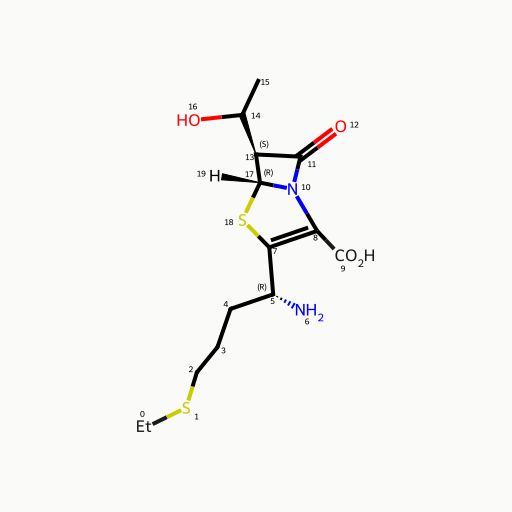 CCSCCC[C@@H](N)C1=C(C(=O)O)N2C(=O)[C@H](C(C)O)[C@H]2S1